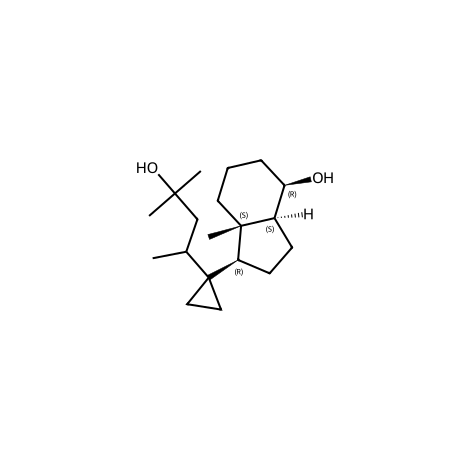 CC(CC(C)(C)O)C1([C@@H]2CC[C@@H]3[C@H](O)CCC[C@]32C)CC1